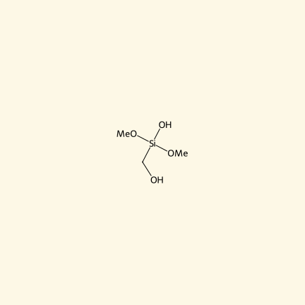 CO[Si](O)(CO)OC